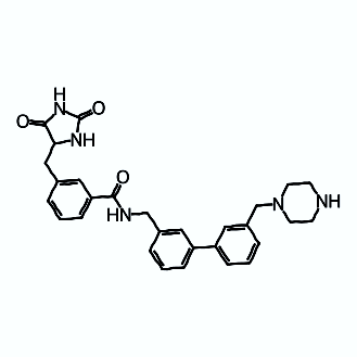 O=C1NC(=O)C(Cc2cccc(C(=O)NCc3cccc(-c4cccc(CN5CCNCC5)c4)c3)c2)N1